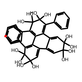 OC1(O)C=c2c3c(c4c(c2=CC1(O)O)=C(c1ccccc1)C(O)(O)C(O)(O)C=4c1ccccc1)=C(c1ccccc1)C(O)(O)C(O)(O)C=3